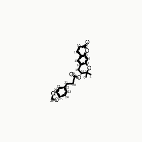 CC1(C)Oc2cc3oc(=O)ccc3cc2C[C@H]1OC(=O)CCc1ccc2c(c1)OCO2